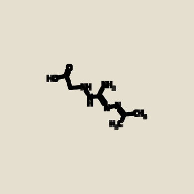 CC(C)=N/N=C(\N)NNCC(=O)O